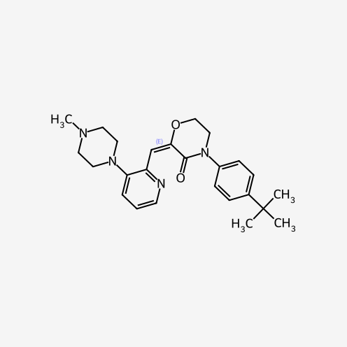 CN1CCN(c2cccnc2/C=C2/OCCN(c3ccc(C(C)(C)C)cc3)C2=O)CC1